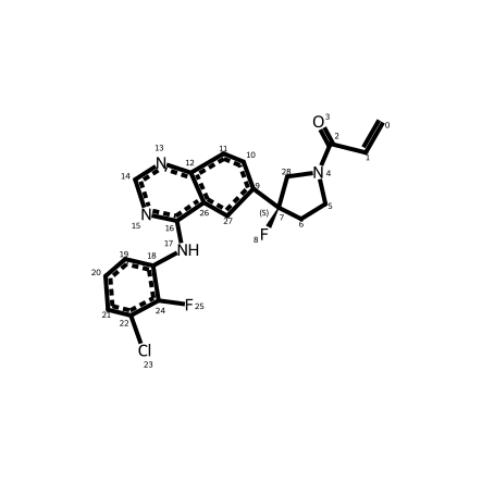 C=CC(=O)N1CC[C@](F)(c2ccc3ncnc(Nc4cccc(Cl)c4F)c3c2)C1